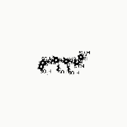 Cc1cc(N=Nc2cc(OCCCS(=O)(=O)O)c(N=Nc3c(C)c(C#N)c4nc5c(Cl)cc(S(=O)(=O)O)cc5n4c3O)cc2C)c(SCCCS(=O)(=O)O)cc1N=Nc1nc2c(S(=O)(=O)O)cc3ccc(S(=O)(=O)O)cc3c2s1